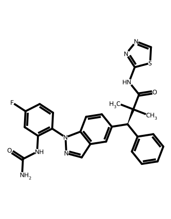 CC(C)(C(=O)Nc1nncs1)[C@@H](c1ccccc1)c1ccc2c(cnn2-c2ccc(F)cc2NC(N)=O)c1